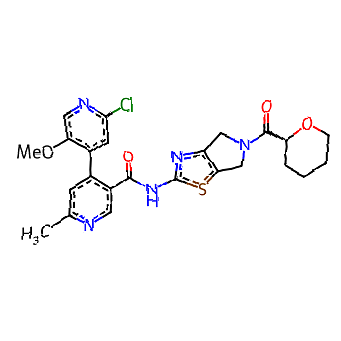 COc1cnc(Cl)cc1-c1cc(C)ncc1C(=O)Nc1nc2c(s1)CN(C(=O)[C@@H]1CCCCO1)C2